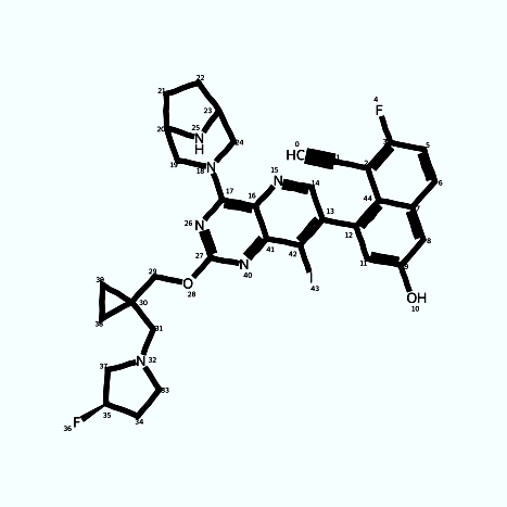 C#Cc1c(F)ccc2cc(O)cc(-c3cnc4c(N5CC6CCC(C5)N6)nc(OCC5(CN6CC[C@@H](F)C6)CC5)nc4c3I)c12